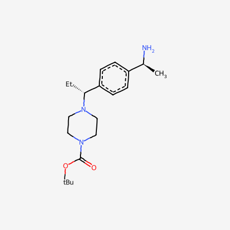 CC[C@H](c1ccc([C@H](C)N)cc1)N1CCN(C(=O)OC(C)(C)C)CC1